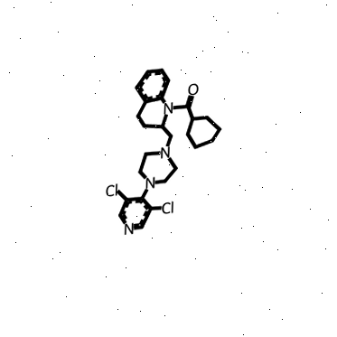 O=C(C1CCCCC1)N1c2ccccc2CCC1CN1CCN(c2c(Cl)cncc2Cl)CC1